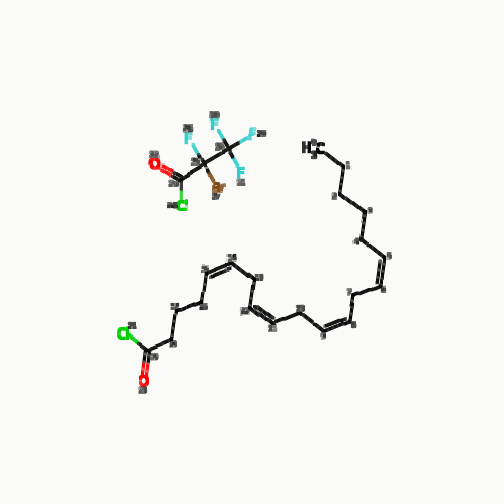 CCCCC/C=C\C/C=C\C/C=C\C/C=C\CCCC(=O)Cl.O=C(Cl)C(F)(Br)C(F)(F)F